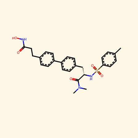 Cc1ccc(S(=O)(=O)N[C@@H](Cc2ccc(-c3ccc(CCC(=O)NO)cc3)cc2)C(=O)N(C)C)cc1